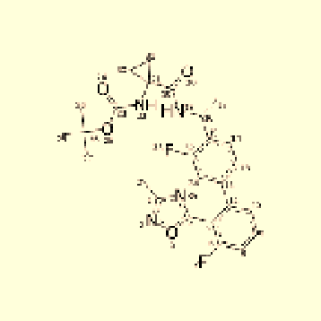 Cc1noc(-c2c(F)cccc2-c2ccc([C@@H](C)NC(=O)C3(NC(=O)OC(C)(C)C)CC3)c(F)c2)n1